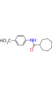 O=C(O)c1ccc(NC(=O)C2CCCCCC2)cc1